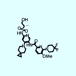 COc1ccc(C(=O)Nc2cnc(NS(=O)(=O)[C@@H](C)CO)cc2N2CCC3(CC2)CC3)nc1N1CCC(F)(F)CC1